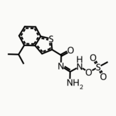 CC(C)c1cccc2sc(C(=O)N=C(N)NOS(C)(=O)=O)cc12